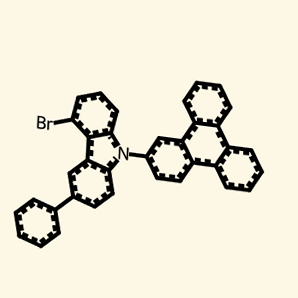 Brc1cccc2c1c1cc(-c3ccccc3)ccc1n2-c1ccc2c3ccccc3c3ccccc3c2c1